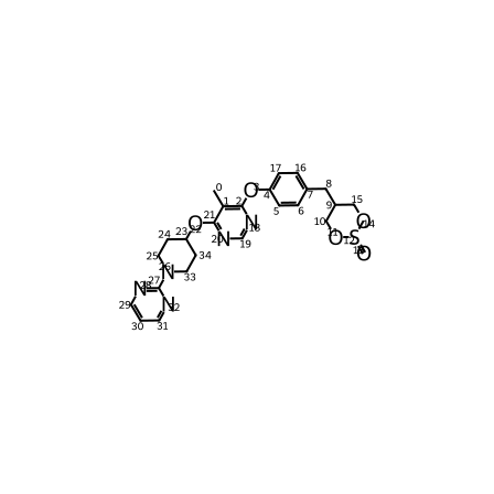 Cc1c(Oc2ccc(CC3COS(=O)OC3)cc2)ncnc1OC1CCN(c2ncccn2)CC1